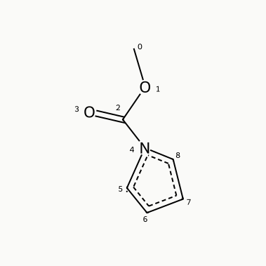 COC(=O)n1[c]ccc1